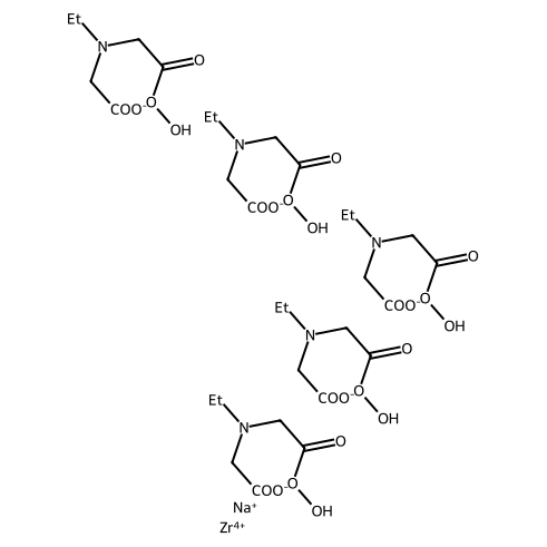 CCN(CC(=O)[O-])CC(=O)OO.CCN(CC(=O)[O-])CC(=O)OO.CCN(CC(=O)[O-])CC(=O)OO.CCN(CC(=O)[O-])CC(=O)OO.CCN(CC(=O)[O-])CC(=O)OO.[Na+].[Zr+4]